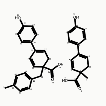 CC1(C(=O)O)C=CC(c2ccc(O)cc2)=CC1.Cc1ccc(CC2(C(=O)O)C=CC(c3ccc(O)cc3)=CC2)cc1